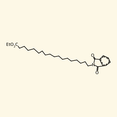 CCOC(=O)CCCCCCCCCCCCCCCCCN1C(=O)c2ccccc2C1=O